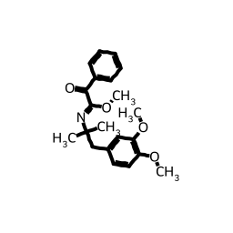 COC(=NC(C)(C)Cc1ccc(OC)c(OC)c1)C(=O)c1ccccc1